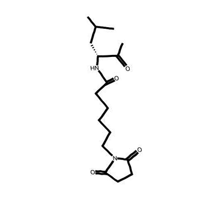 CC(=O)[C@@H](CC(C)C)NC(=O)CCCCCN1C(=O)CCC1=O